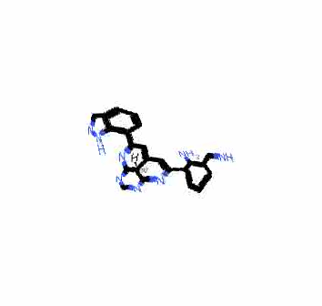 N=Cc1cccc(C2=CC3=CC(c4cccc5cn[nH]c45)=NC4=NC=NC(=N2)[C@H]34)c1N